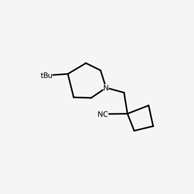 CC(C)(C)C1CCN(CC2(C#N)CCC2)CC1